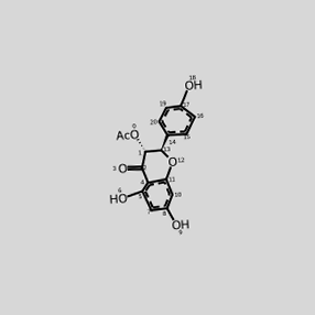 CC(=O)O[C@H]1C(=O)c2c(O)cc(O)cc2O[C@@H]1c1ccc(O)cc1